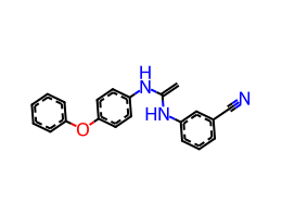 C=C(Nc1ccc(Oc2ccccc2)cc1)Nc1cccc(C#N)c1